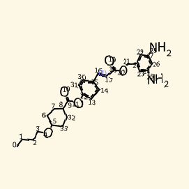 CCCCOC1CCC(C(=O)Oc2ccc(/C=C/C(=O)OCc3cc(N)cc(N)c3)cc2)CC1